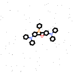 c1ccc(N(c2ccccc2)c2ccc3c(c2)oc2c4cc(N(c5ccccc5)c5ccccc5)ccc4p(-c4ccccc4)c32)cc1